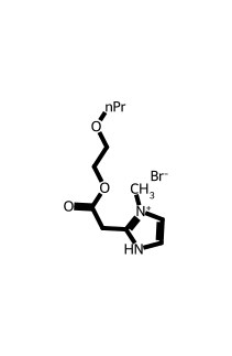 CCCOCCOC(=O)Cc1[nH]cc[n+]1C.[Br-]